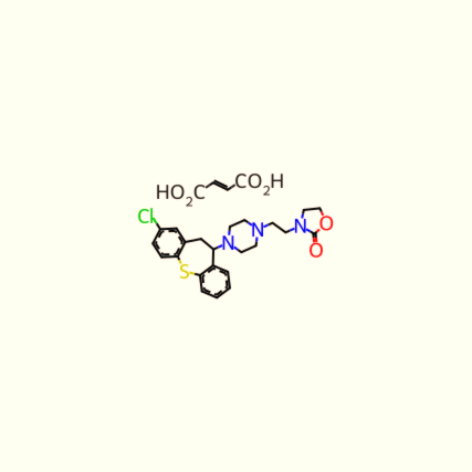 O=C(O)C=CC(=O)O.O=C1OCCN1CCN1CCN(C2Cc3cc(Cl)ccc3Sc3ccccc32)CC1